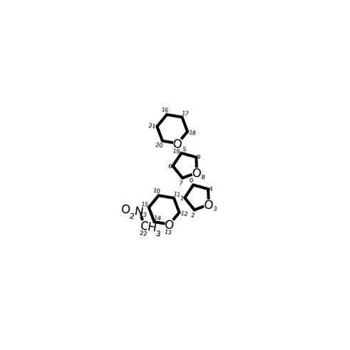 C1CCOC1.C1CCOC1.C1CCOCC1.C1CCOCC1.C[N+](=O)[O-]